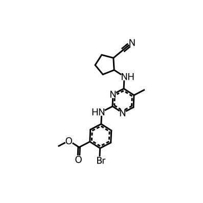 COC(=O)c1cc(Nc2ncc(C)c(NC3CCCC3C#N)n2)ccc1Br